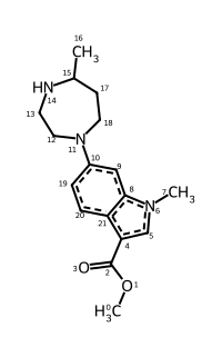 COC(=O)c1cn(C)c2cc(N3CCNC(C)CC3)ccc12